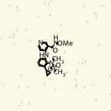 CONC(=O)c1cnccc1Nc1cccc(C2CC2)c1N(C)S(C)(=O)=O